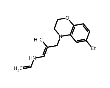 C=CN/C=C(\C)CN1CCOc2ccc(CC)cc21